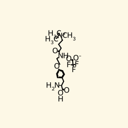 C[N+](C)(C)CCCC(=O)NCCOc1ccc(C[C@H](N)C(=O)O)cc1.O=C([O-])C(F)(F)F